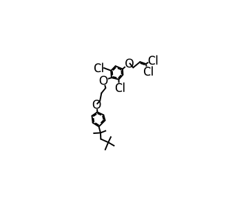 CC(C)(C)CC(C)(C)c1ccc(OCCCOc2c(Cl)cc(OCC=C(Cl)Cl)cc2Cl)cc1